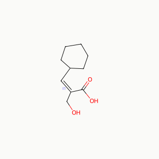 O=C(O)/C(=C\C1CCCCC1)CO